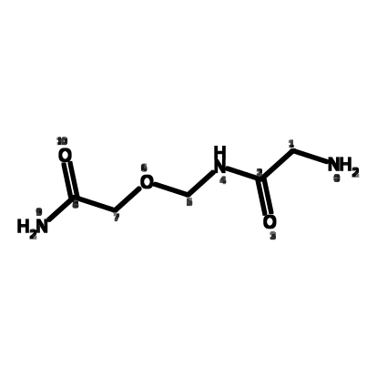 NCC(=O)NCOCC(N)=O